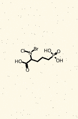 O=C(O)C(CCCP(=O)(O)O)N(Cl)Br